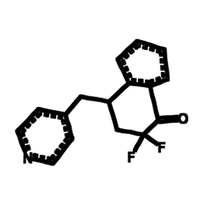 O=C1c2ccccc2C(Cc2ccncc2)CC1(F)F